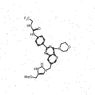 COCC1=CN(Cc2cnc3c(N4CCOCC4)nc(-c4ccc(NC(=O)NCC(F)(F)F)cc4)nc3c2)NN1